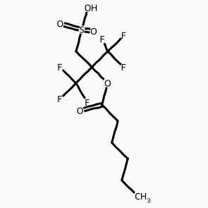 CCCCCC(=O)OC(CS(=O)(=O)O)(C(F)(F)F)C(F)(F)F